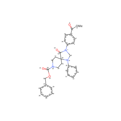 COC(=O)c1ccc(N2CN(c3ccccc3)C3(CCN(C(=O)OCc4ccccc4)CC3)C2=O)cc1